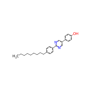 CCCCCCCCCc1ccc(-c2ncc(-c3ccc(O)cc3)cn2)cc1